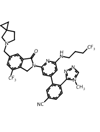 Cn1cnnc1-c1ccc(C#N)cc1-c1cc(NCCCC(F)(F)F)nc(N2Cc3c(cc(CN4CCC5(CC5)C4)cc3C(F)(F)F)C2=O)c1